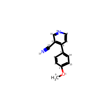 COc1ccc(-c2ccncc2C#N)cc1